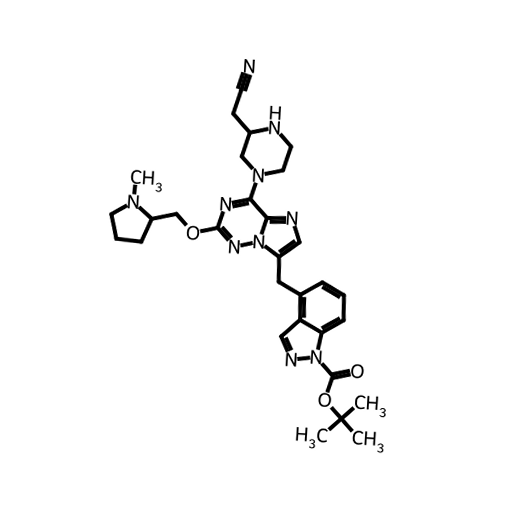 CN1CCCC1COc1nc(N2CCNC(CC#N)C2)c2ncc(Cc3cccc4c3cnn4C(=O)OC(C)(C)C)n2n1